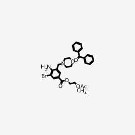 C.CC(=O)OCCOC(=O)c1cc(Br)c(N)c(CN2CCOCC2)c1.O=C(c1ccccc1)c1ccccc1